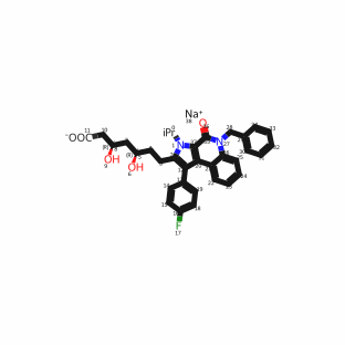 CC(C)n1c(CC[C@@H](O)C[C@@H](O)CC(=O)[O-])c(-c2ccc(F)cc2)c2c3ccccc3n(Cc3ccccc3)c(=O)c21.[Na+]